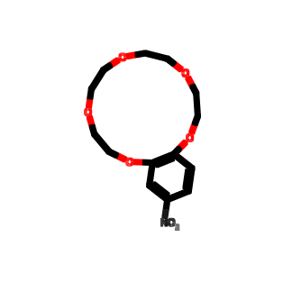 O=[N+]([O-])c1ccc2c(c1)OCCOCCOCCOCCO2